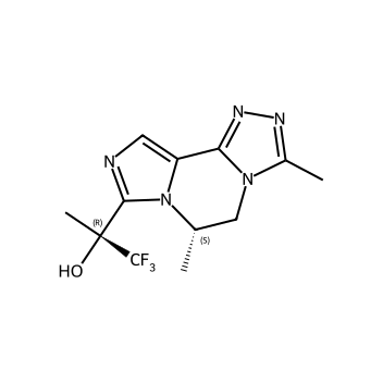 Cc1nnc2n1C[C@H](C)n1c-2cnc1[C@@](C)(O)C(F)(F)F